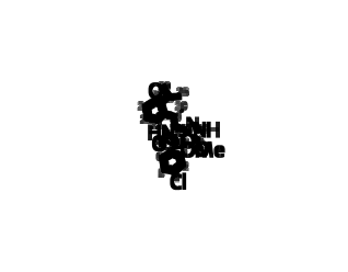 COc1cc(Cl)ccc1S(=O)(=O)N[C@H](c1n[nH]c(=O)o1)[C@@H](C)c1cccc2c1C(C)CO2